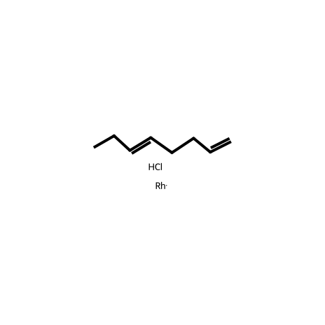 C=CCCC=CCC.Cl.[Rh]